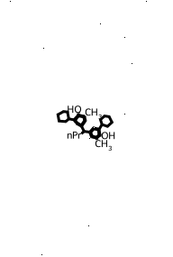 CCCC(c1cc(C)c(O)c(C2CCCCC2)c1)c1cc(C)c(O)c(C2CCCCC2)c1